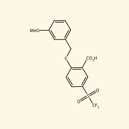 COc1cccc(CSc2ccc(S(=O)(=O)C(F)(F)F)cc2C(=O)O)c1